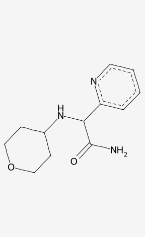 NC(=O)C(NC1CCOCC1)c1ccccn1